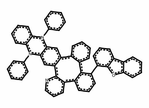 c1ccc(-n2c3ccccc3n(-c3ccccc3)c3cc4c(cc32)c2ccccc2c2c(-c3cccc5c3oc3ccccc35)cccc2c2cccnc42)cc1